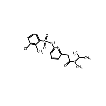 Cc1c(Cl)cccc1S(=O)(=O)Nc1cccc(CC(=O)N(C)C(C)C)n1